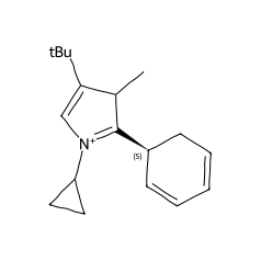 CC1C(C(C)(C)C)=C[N+](C2CC2)=C1[C@@H]1C=CC=CC1